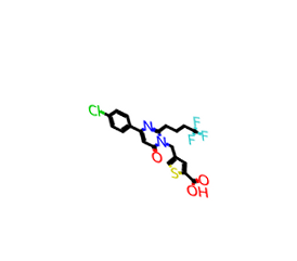 O=C(O)c1cc(Cn2c(CCCC(F)(F)F)nc(-c3ccc(Cl)cc3)cc2=O)cs1